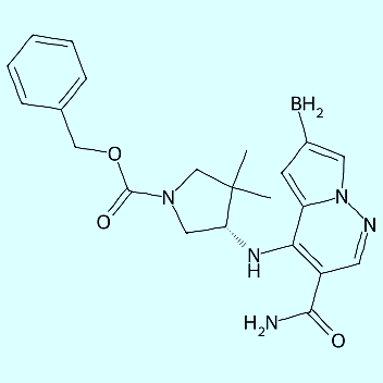 Bc1cc2c(N[C@@H]3CN(C(=O)OCc4ccccc4)CC3(C)C)c(C(N)=O)cnn2c1